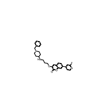 O=c1oc2cc(-c3ccnc(F)c3)ccc2cc1OCCCNC1CCN(Cc2ccccc2)CC1